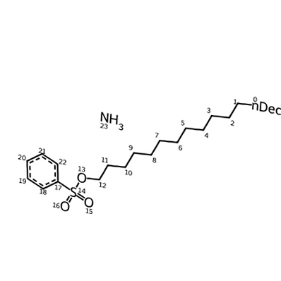 CCCCCCCCCCCCCCCCCCCCCCOS(=O)(=O)c1ccccc1.N